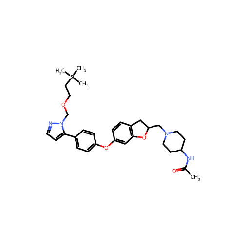 CC(=O)NC1CCN(CC2Cc3ccc(Oc4ccc(-c5ccnn5COCC[Si](C)(C)C)cc4)cc3O2)CC1